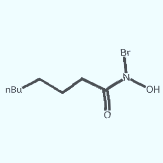 CCCCCCCC(=O)N(O)Br